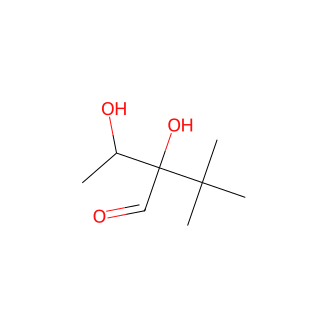 CC(O)C(O)(C=O)C(C)(C)C